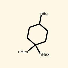 CCCCCCC1(CCCCCC)CCC(CCCC)CC1